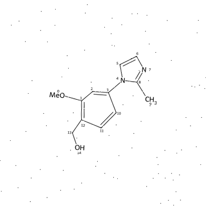 COc1cc(-n2ccnc2C)ccc1CO